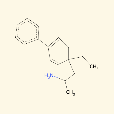 CCC1(CC(C)N)C=CC(c2ccccc2)=CC1